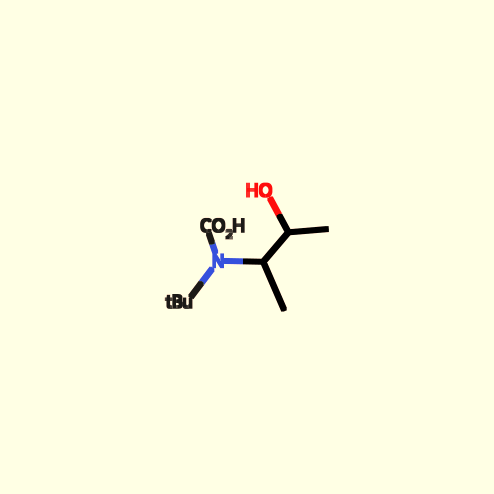 CC(O)C(C)N(C(=O)O)C(C)(C)C